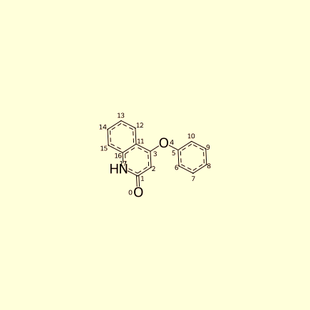 O=c1cc(Oc2ccccc2)c2ccccc2[nH]1